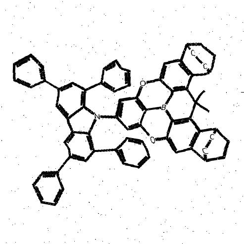 CC1(C)c2c3c(cc4c2C2CCC4CC2)Oc2cc(-n4c5c(-c6ccccc6)cc(-c6ccccc6)cc5c5cc(-c6ccccc6)cc(-c6ccccc6)c54)cc4c2B3c2c(cc3c(c21)C1CCC3CC1)O4